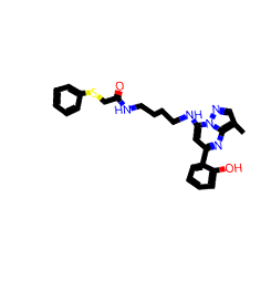 Cc1cnn2c(NCCCCNC(=O)CSc3ccccc3)cc(-c3ccccc3O)nc12